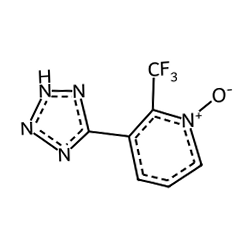 [O-][n+]1cccc(-c2nn[nH]n2)c1C(F)(F)F